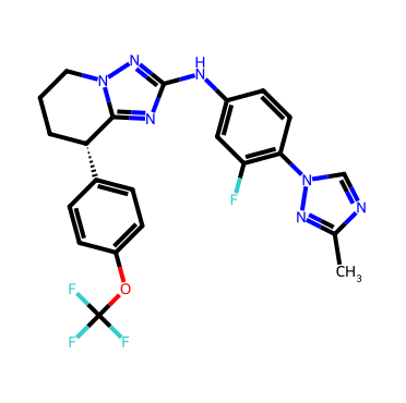 Cc1ncn(-c2ccc(Nc3nc4n(n3)CCC[C@H]4c3ccc(OC(F)(F)F)cc3)cc2F)n1